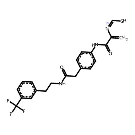 C=C(/N=C\S)C(=O)Nc1ccc(CC(=O)NCCc2cccc(C(F)(F)F)c2)cc1